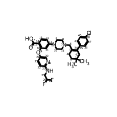 CC1(C)CCC(CN2CCN(c3ccc(C(=O)O)c(Oc4ccc(NCC(F)F)nc4)c3)CC2)=C(c2ccc(Cl)cc2)C1